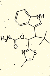 Cc1csc([C@H](OC(N)=O)C(c2c[nH]c3ccccc23)C(C)(C)C)n1